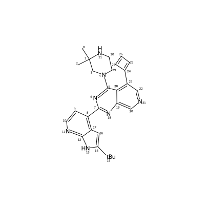 CC1(C)CN(c2nc(-c3ccnc4[nH]c(C(C)(C)C)cc34)nc3cncc(C4=CC=C4)c23)CCN1